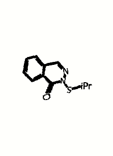 CC(C)Sn1ncc2ccccc2c1=O